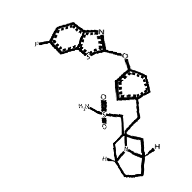 NS(=O)(=O)CC1C[C@H]2CC[C@@H](C1)N2CCc1ccc(Oc2nc3ccc(F)cc3s2)cc1